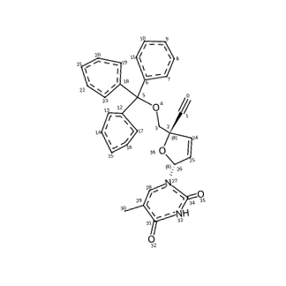 C#C[C@@]1(COC(c2ccccc2)(c2ccccc2)c2ccccc2)C=C[C@H](n2cc(C)c(=O)[nH]c2=O)O1